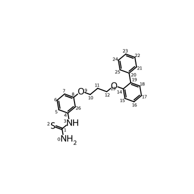 NC(=S)Nc1cccc(OCCCOc2ccccc2-c2ccccc2)c1